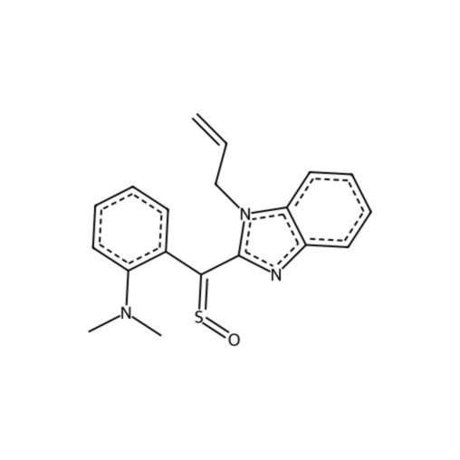 C=CCn1c(C(=S=O)c2ccccc2N(C)C)nc2ccccc21